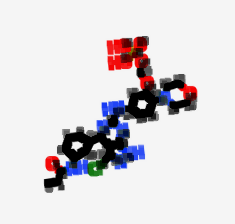 C=CC(=O)Nc1cccc(-c2nc(Nc3ccc(N4CCOCC4)c(OCOP(=O)(O)O)c3)nc3[nH]nc(Cl)c23)c1